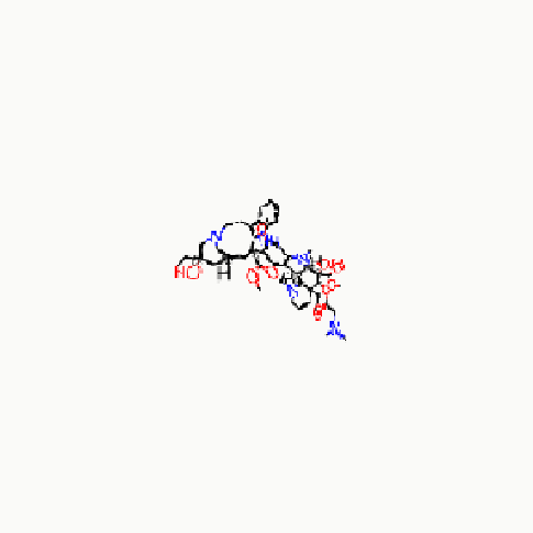 CC[C@]1(O)C[C@@H]2CN(CCc3c([nH]c4ccccc34)[C@@](C(=O)OC)(c3cc4c(cc3OC)N(C)[C@H]3[C@@](O)(C(=O)OC)[C@H](OC(=O)CN(C)C)[C@]5(CC)C=CCN6CC[C@]43[C@@H]65)C2)C1